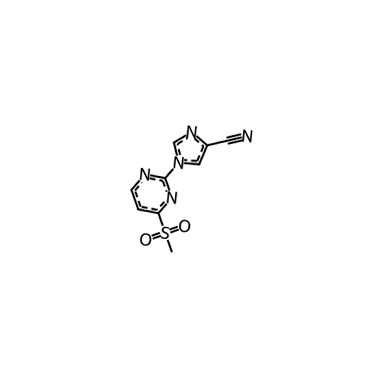 CS(=O)(=O)c1ccnc(-n2cnc(C#N)c2)n1